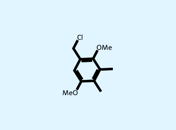 COc1cc(CCl)c(OC)c(C)c1C